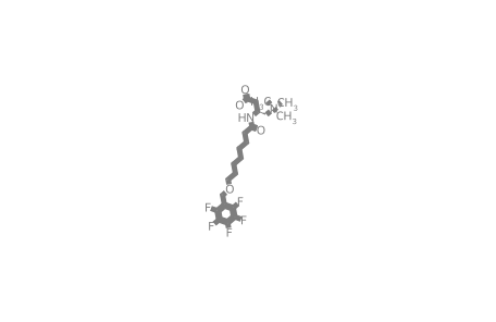 C[N+](C)(C)C[C@@H](CC(=O)[O-])NC(=O)CCCCCCCOCc1c(F)c(F)c(F)c(F)c1F